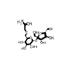 NC(O)COC[C@H]1O[C@H](O[C@]2(CO)O[C@H](CO)[C@@H](O)[C@@H]2O)[C@H](O)[C@@H](O)[C@@H]1O